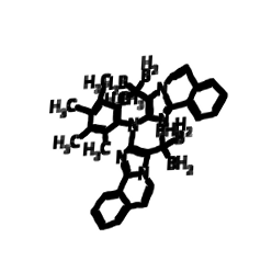 BC(B)(B)c1c(N(c2nc3c4ccccc4ccn3c2C(B)(B)B)c2c(C)c(C)c(C)c(C)c2C)nc2c3ccccc3ccn12